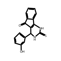 O=C1C2=C(NC(=S)NC2c2cccc(O)c2)c2ccccc21